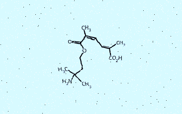 CC(=CC=C(C)C(=O)OCCC(C)(C)N)C(=O)O